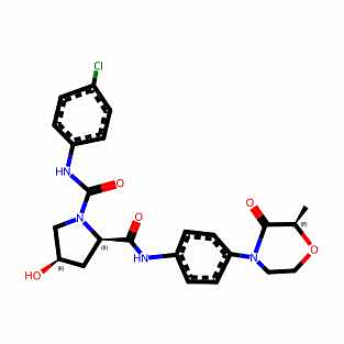 C[C@H]1OCCN(c2ccc(NC(=O)[C@H]3C[C@@H](O)CN3C(=O)Nc3ccc(Cl)cc3)cc2)C1=O